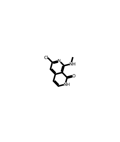 CNc1nc(Cl)cc2cc[nH]c(=O)c12